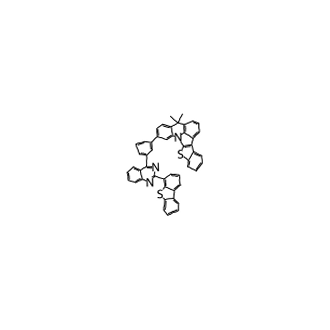 CC1(C)c2ccc(-c3cccc(-c4nc(-c5cccc6c5sc5ccccc56)nc5ccccc45)c3)cc2-n2c3sc4ccccc4c3c3cccc1c32